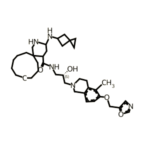 Cc1c(OCc2cnco2)ccc2c1CCN(C[C@@H](O)CNC(=O)C1CC(NC3CC4(CC4)C3)NCC13CCCCCCCCC3)C2